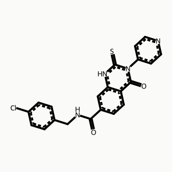 O=C(NCc1ccc(Cl)cc1)c1ccc2c(=O)n(-c3ccncc3)c(=S)[nH]c2c1